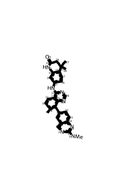 CNc1ncc2cc(-c3c(C)ccc4c(Nc5ccc6c(c5)NC(=O)CC6(C)C)ncnc34)ccc2n1